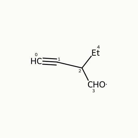 C#CC([C]=O)CC